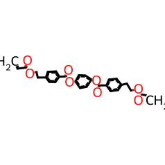 C=CC(=O)OCCc1ccc(C(=O)Oc2ccc(OC(=O)c3ccc(CCOC(=O)C=C)cc3)cc2)cc1